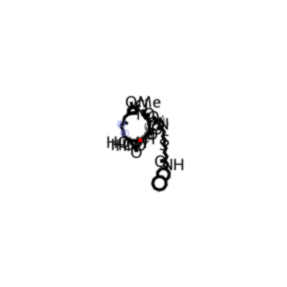 COc1cc2cc(c1Cl)N(C)C(=O)C[C@H](OC(=O)[C@H](C)N(C)C(=O)CCSSCCCC(=O)NC1CCC3CCCCCCC(CC1)C3)[C@]1(C)O[C@H]1[C@H](C)[C@@H]1C[C@@](O)(NC(=O)O1)[C@H](O)/C=C/C=C(\C)C2